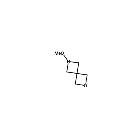 CON1CC2(COC2)C1